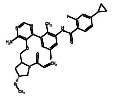 C=CC(=O)N1C[C@H](OC)CC1COc1c(N)ncnc1-c1cc(F)cc(NC(=O)c2ccc(C3CC3)cc2F)c1C